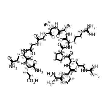 CC[C@H](C)[C@H](NC(=O)[C@H](CCCNC(=N)N)NC(=O)[C@@H]1CCCN1C(=O)[C@H](CCCNC(=N)N)NC(=O)[C@H](CC(C)C)NC(=O)[C@H](C)N)C(=O)N[C@H](C(=O)NCC(=O)NCC(=O)N[C@@H](CCC(N)=O)C(=O)N[C@@H](CCC(=O)O)C(N)=O)C(C)C